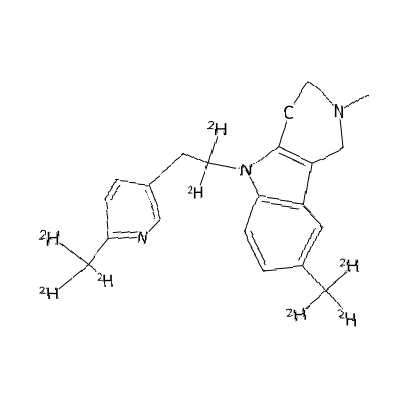 [2H]C([2H])([2H])c1ccc2c(c1)c1c(n2C([2H])([2H])Cc2ccc(C([2H])([2H])[2H])nc2)CCN(C)C1